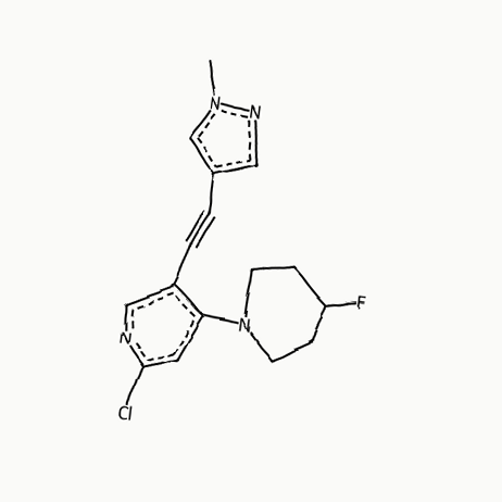 Cn1cc(C#Cc2cnc(Cl)cc2N2CCC(F)CC2)cn1